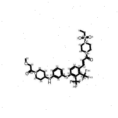 CCS(=O)(=O)N1CCN(C(=O)C=Cc2ccc(Sc3cccc(NC4CCN(C(=O)COC)CC4)c3)c(C(F)(F)F)c2C(F)(F)F)CC1